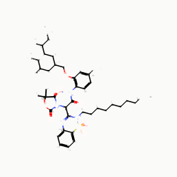 CCCCCCCCCCCCCCCCCCN1C(C(C(=O)Nc2ccc(C(C)(C)C)cc2OCC(CCC(CC)CC(C)(C)C)CC(CC)CC(C)(C)C)N2C(=O)OC(C)(C)C2=O)=Nc2ccccc2S1(=O)=O